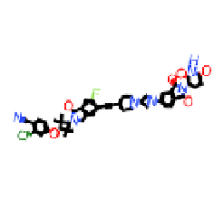 CC1(C)[C@H](Oc2ccc(C#N)c(Cl)c2)C(C)(C)[C@H]1N1Cc2cc(C#CC3CCN(C4CN(c5ccc6c(c5)C(=O)N(C5CCC(=O)NC5=O)C6=O)C4)CC3)c(F)cc2C1=O